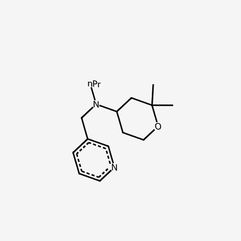 CCCN(Cc1cccnc1)C1CCOC(C)(C)C1